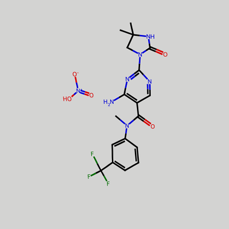 CN(C(=O)c1cnc(N2CC(C)(C)NC2=O)nc1N)c1cccc(C(F)(F)F)c1.O=[N+]([O-])O